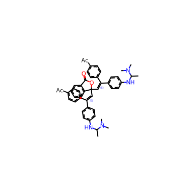 CC(=O)c1ccc(/C(=C\C2(/C=C(/c3ccc(NC(C)N(C)C)cc3)c3ccc(C(C)=O)cc3)OC(=O)c3ccccc32)c2ccc(NC(C)N(C)C)cc2)cc1